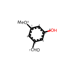 COc1cc(O)cc(C=O)c1